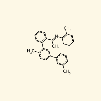 CC1=C(/N=C(\C)c2ccccc2-c2cc(-c3cccc(C)c3)ccc2C)CCC=C1